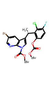 C[C@H](c1c(OC(=O)OC(C)(C)C)ccc(F)c1Cl)c1cn(C(=O)OC(C)(C)C)c2ncc(Br)cc12